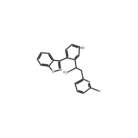 CCc1cccc(CC(N)c2ccccc2-c2noc3ccccc23)n1.Cl